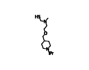 CC(C)N1CCC(COCCN(C)CS)CC1